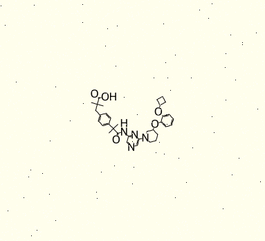 CC(C)(Cc1ccc(C(C)(C)C(=O)Nc2cncc(N3CCCC(Oc4ccccc4OC4CCC4)C3)n2)cc1)C(=O)O